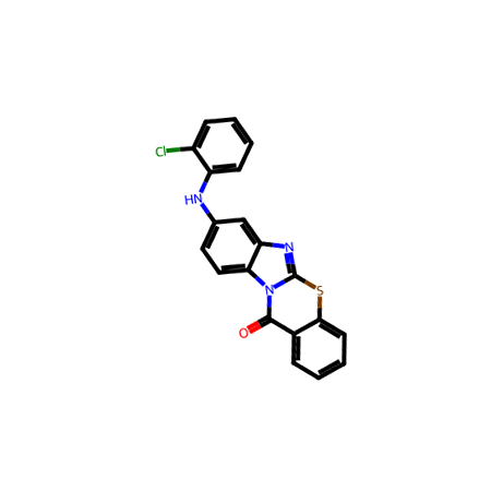 O=c1c2ccccc2sc2nc3cc(Nc4ccccc4Cl)ccc3n12